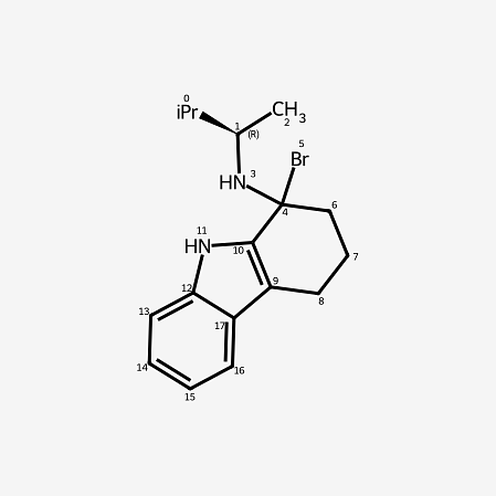 CC(C)[C@@H](C)NC1(Br)CCCc2c1[nH]c1ccccc21